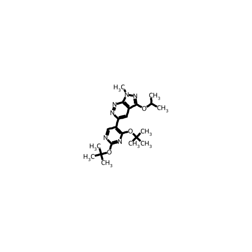 CC(C)Oc1nn(C)c2nnc(-c3cnc(OC(C)(C)C)nc3OC(C)(C)C)cc12